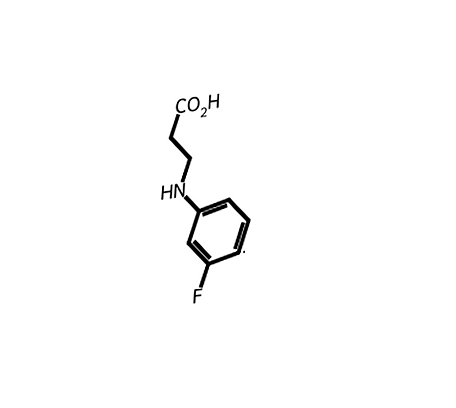 O=C(O)CCNc1cc[c]c(F)c1